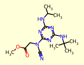 COC(=O)CN(C#N)c1nc(NC(C)C)nc(NC(C)(C)C)n1